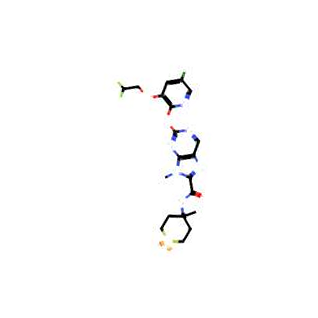 Cn1c(C(=O)NC2(C)CCS(=O)(=O)CC2)nc2cnc(Oc3ncc(Cl)cc3OCC(F)F)nc21